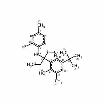 CCC(CC)(Pc1ccc(C)cc1F)c1cc(C(C)(C)C)cc(C)c1O